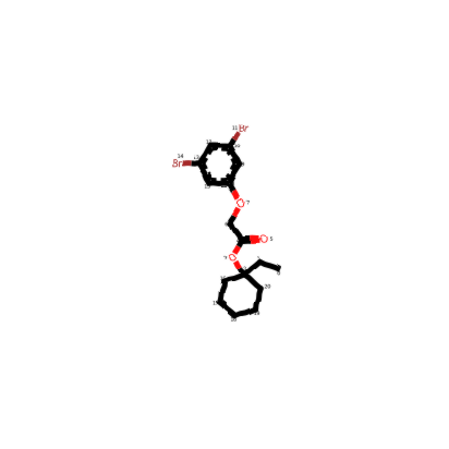 CCC1(OC(=O)COc2cc(Br)cc(Br)c2)CCCCC1